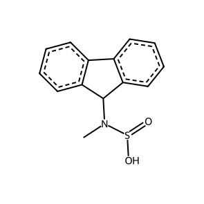 CN(C1c2ccccc2-c2ccccc21)S(=O)O